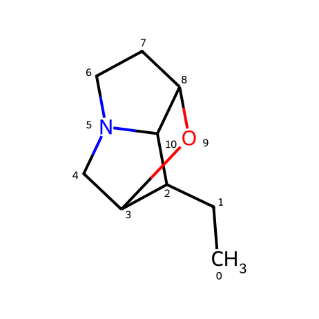 CCC1C2CN3CCC(O2)C13